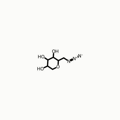 [N-]=[N+]=NCC1OCC(O)C(O)C1O